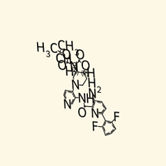 CC(C)(C)OC(=O)N1C(=O)O[C@@H]2CCN(c3ccncc3NC(=O)c3nc(-c4c(F)cccc4F)ccc3N)C[C@@H]21